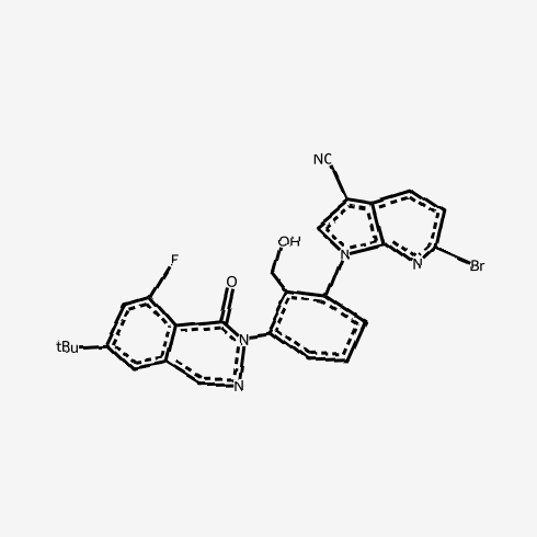 CC(C)(C)c1cc(F)c2c(=O)n(-c3cccc(-n4cc(C#N)c5ccc(Br)nc54)c3CO)ncc2c1